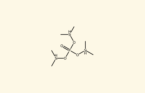 C[SiH](C)OP(=O)(O[SiH](C)C)O[SiH](C)C